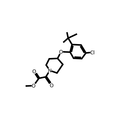 COC(=O)C(=O)N1CCC(Oc2ccc(Cl)cc2C(C)(C)C)CC1